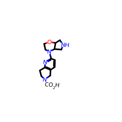 O=C(O)N1CCc2nc(N3CCOC4CNCC43)ccc2C1